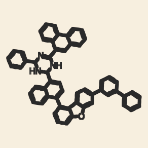 c1ccc(-c2cccc(-c3ccc4c(c3)oc3cccc(-c5ccc(C6NC(c7cc8ccccc8c8ccccc78)=NC(c7ccccc7)N6)c6ccccc56)c34)c2)cc1